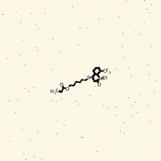 C=CC(=O)OCCCCCCSc1cc(=O)n(CC)c2c(C(F)(F)F)cccc12